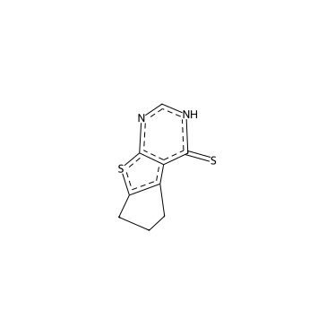 S=c1[nH]cnc2sc3c(c12)CCC3